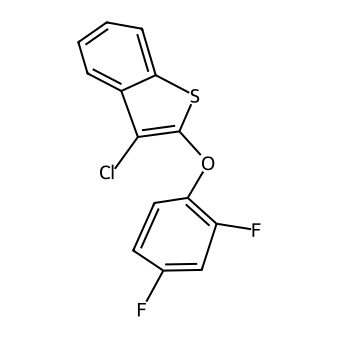 Fc1ccc(Oc2sc3ccccc3c2Cl)c(F)c1